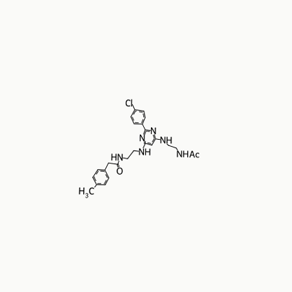 CC(=O)NCCNc1cc(NCCNC(=O)Cc2ccc(C)cc2)nc(-c2ccc(Cl)cc2)n1